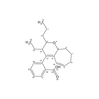 CCCC1OC2CCCC=CC2=C(c2ccccc2C(=O)O)C1CC